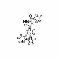 O=C([C@@H]1C[C@H](N2CCC(n3cccc3-c3ccccn3)CC2)CN1)N1CCSC1